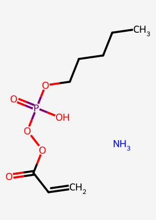 C=CC(=O)OOP(=O)(O)OCCCCC.N